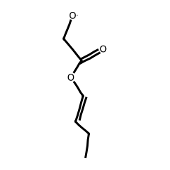 CC/C=C/OC(=O)C[O]